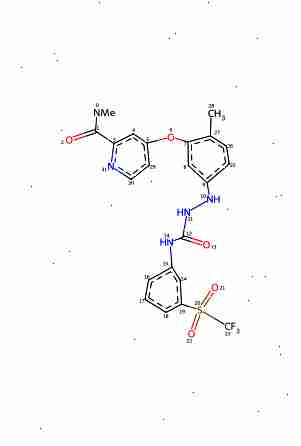 CNC(=O)c1cc(Oc2cc(NNC(=O)Nc3cccc(S(=O)(=O)C(F)(F)F)c3)ccc2C)ccn1